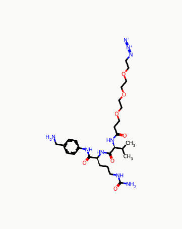 CC(C)[C@H](NC(=O)CCOCCOCCOCCN=[N+]=[N-])C(=O)N[C@@H](CCCNC(N)=O)C(=O)Nc1ccc(CN)cc1